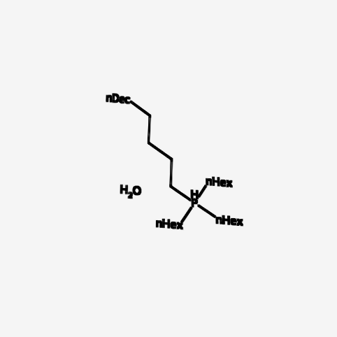 CCCCCCCCCCCCCC[PH](CCCCCC)(CCCCCC)CCCCCC.O